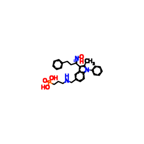 Cc1c(/C(CCc2ccccc2)=N\O)c2cc(CNCCCP(=O)(O)O)ccc2n1-c1ccccc1